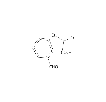 CCC(CC)C(=O)O.O=Cc1ccccc1